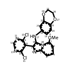 COc1cccc2nc(-c3c(Cl)ncnc3Cl)c(Nc3ccc4c(c3)OCCO4)n12